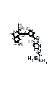 Cc1ccc(C(=O)Nc2ccc(OCCN(C)C)nc2)cc1C#Cc1c(N)ncc2ccc(Cl)cc12